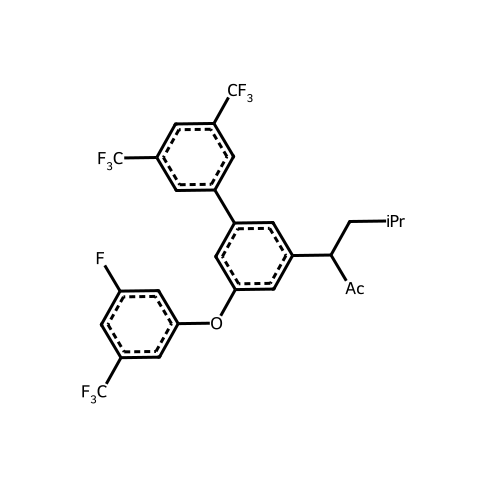 CC(=O)C(CC(C)C)c1cc(Oc2cc(F)cc(C(F)(F)F)c2)cc(-c2cc(C(F)(F)F)cc(C(F)(F)F)c2)c1